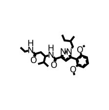 CCNC(=O)CC(NC(=O)c1cc(-c2c(OC)cccc2OC)n(CC(C)CC)n1)C(C)C